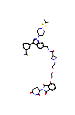 CC(C)S(=O)(=O)N1CCC(n2cc(-c3cccc(C(N)=S)c3)c3ccc(CNC(=O)C4CN(CCOCCOc5cccc6c5C(=O)N(C5CCC(=O)NC5=O)C6=O)C4)cc32)CC1